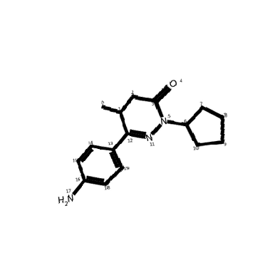 CC1CC(=O)N(C2CCCC2)N=C1c1ccc(N)cc1